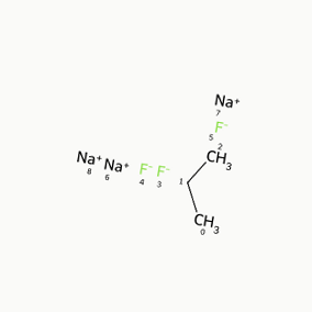 CCC.[F-].[F-].[F-].[Na+].[Na+].[Na+]